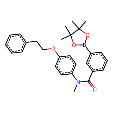 CN(C(=O)c1cccc(B2OC(C)(C)C(C)(C)O2)c1)c1ccc(OCCc2ccccc2)cc1